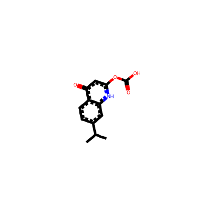 CC(C)c1ccc2c(=O)cc(OC(=O)O)[nH]c2c1